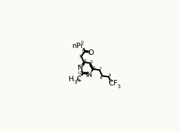 CCCC(=O)Cc1cc(CCCC(F)(F)F)nc(C)n1